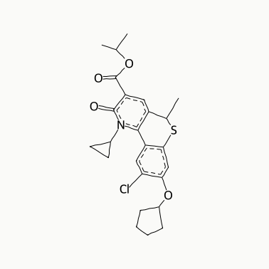 CC(C)OC(=O)c1cc2c(n(C3CC3)c1=O)-c1cc(Cl)c(OC3CCCC3)cc1SC2C